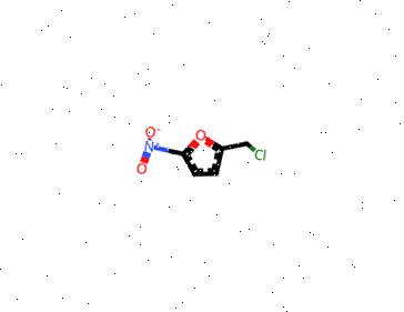 O=[N+]([O-])c1ccc(CCl)o1